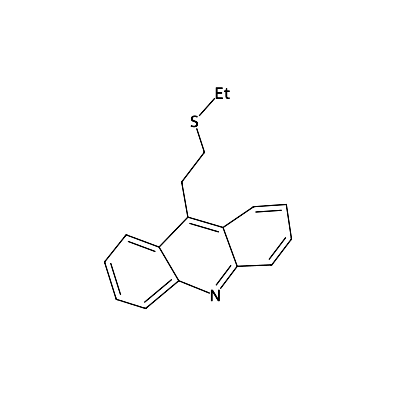 CCSCCc1c2ccccc2nc2ccccc12